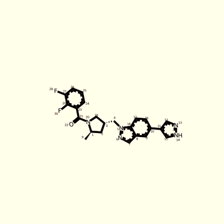 C[C@@H]1C[C@@H](Cn2ncc3cc(-c4cn[nH]c4)ccc32)CN1C(=O)c1cccc(F)c1F